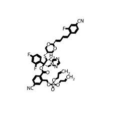 C=CCOP(=O)(OCC=C)OCc1cc(C#N)ccc1C(=O)O[C@@](Cn1cncn1)(c1ccc(F)cc1F)[C@@H](C)S[C@H]1CO[C@H](C=CC=Cc2ccc(C#N)cc2F)OC1